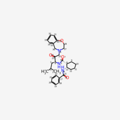 CC(C)C[C@H](NC(=O)[C@@H]1CCCC[C@@H]1NC(=O)c1ccccc1)C(=O)CN1CCOc2ccccc2C1